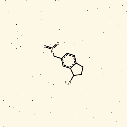 NC1CCc2ccc(C[SH](=O)=O)cc21